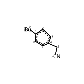 CCC(C)c1ccc(CC#N)cc1